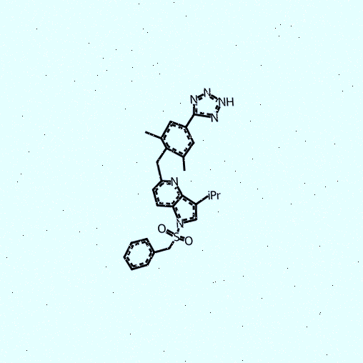 Cc1cc(-c2nn[nH]n2)cc(C)c1Cc1ccc2c(n1)c(C(C)C)cn2S(=O)(=O)Cc1ccccc1